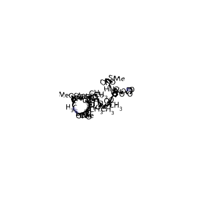 COc1cc2cc(c1Cl)N(C)C(=O)C[C@H](OC(=O)[C@H](C)N(C)C(=O)CCOC(=O)N(C)CCN(C)C(=O)OCc1ccc(NC(=O)OC3/C=C/COCOC3)c(C(=O)NCCN3C(=O)CC(SC)C3=O)c1)[C@]1(C)O[C@H]1[C@H](C)[C@@H]1C[C@@](O)(NC(=O)O1)[C@H](OC)/C=C/C=C(\C)C2